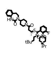 CC(C)N1CCN(c2c(F)cccc2[C@@H](S[C@H](C)CC(=O)N2CCC(N3CCc4ccccc4NC3=O)CC2)N(C=O)CCC(C)(C)C)CC1